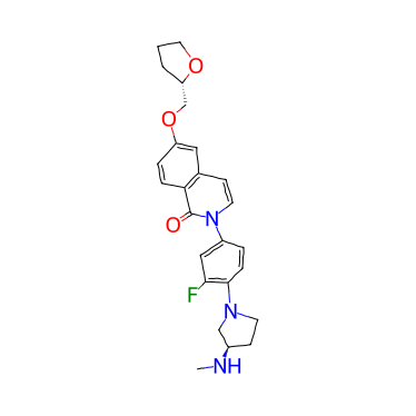 CN[C@@H]1CCN(c2ccc(-n3ccc4cc(OC[C@@H]5CCCO5)ccc4c3=O)cc2F)C1